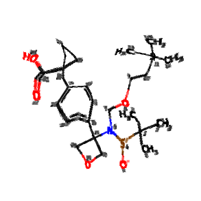 CC(C)(C)[S+]([O-])N(COCC[Si](C)(C)C)C1(c2ccc(C3(C(=O)O)CC3)cc2)COC1